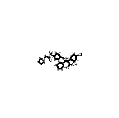 CN(C(=O)CN1CCCC1)c1ccc(NC(=C2C(=O)Nc3cc(Cl)ccc32)c2ccccc2)cc1